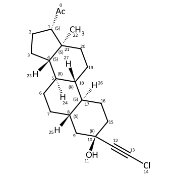 CC(=O)[C@H]1CC[C@H]2[C@@H]3CC[C@H]4C[C@@](O)(C#CCl)CC[C@@H]4[C@H]3CC[C@]12C